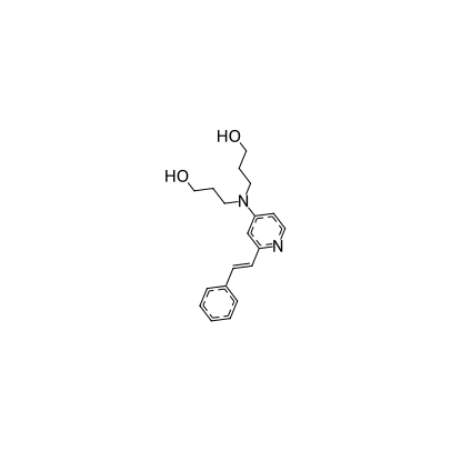 OCCCN(CCCO)c1ccnc(C=Cc2ccccc2)c1